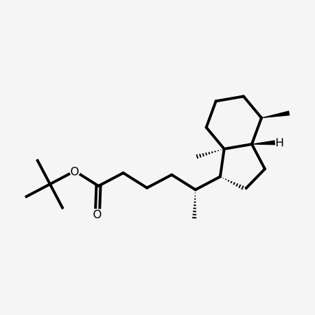 C[C@H](CCCC(=O)OC(C)(C)C)[C@H]1CC[C@H]2[C@H](C)CCC[C@]12C